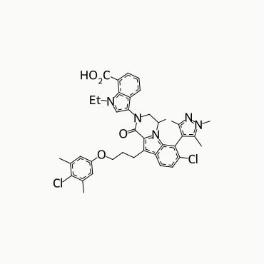 CCn1cc(N2CC(C)n3c(c(CCCOc4cc(C)c(Cl)c(C)c4)c4ccc(Cl)c(-c5c(C)nn(C)c5C)c43)C2=O)c2cccc(C(=O)O)c21